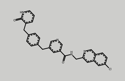 O=C(NCc1cc2cc(Cl)ccc2cn1)c1cncc(Cc2ccc(Cc3ccc[nH]c3=O)cc2)c1